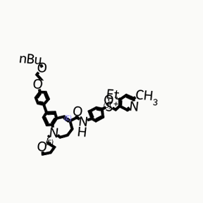 CCCCOCCOc1ccc(-c2ccc3c(c2)/C=C(/C(=O)Nc2ccc([S@+]([O-])Cc4cnc(C)cc4CC)cc2)CCCN3C[C@@H]2CCCO2)cc1